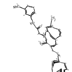 COc1cccc(NC(=O)Cn2c(=O)c(CNc3ccccc3)cc3ccc(C)cc32)c1